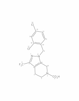 O=C(O)N1CCc2c(C(F)(F)F)nn(Cc3ccc(Cl)cc3Cl)c2C1